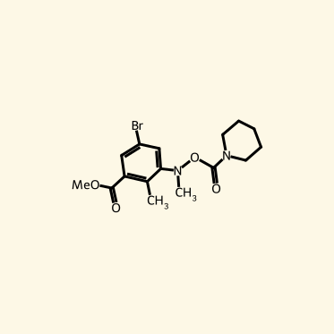 COC(=O)c1cc(Br)cc(N(C)OC(=O)N2CCCCC2)c1C